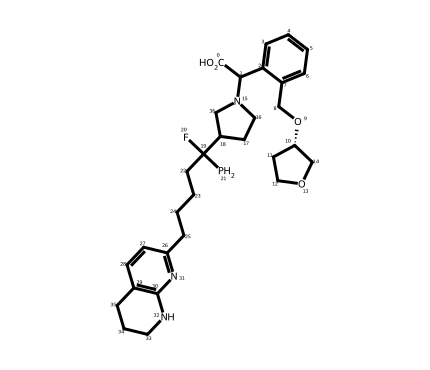 O=C(O)C(c1ccccc1CO[C@H]1CCOC1)N1CCC(C(F)(P)CCCCc2ccc3c(n2)NCCC3)C1